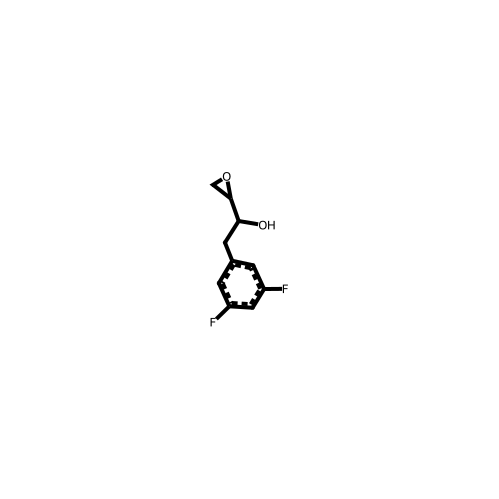 OC(Cc1cc(F)cc(F)c1)C1CO1